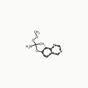 COOC(C)(N)Oc1ccc2cncnc2c1